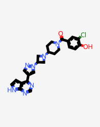 O=C(c1ccc(O)c(Cl)c1)N1CCC(N2CC(n3cc(-c4ncnc5[nH]ccc45)cn3)C2)CC1